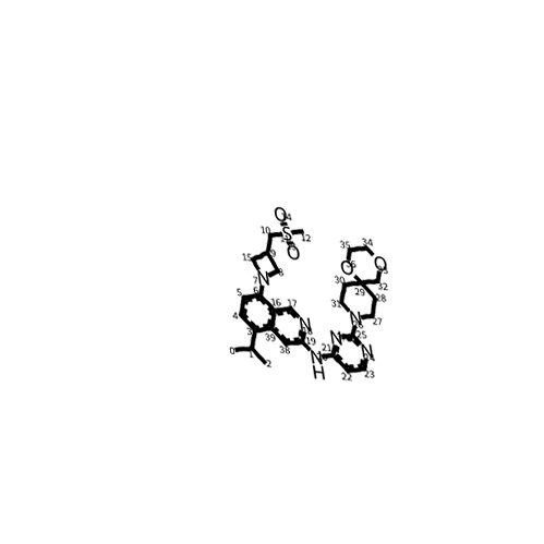 CC(C)c1ccc(N2CC(CS(C)(=O)=O)C2)c2cnc(Nc3ccnc(N4CCC5(CC4)COCCO5)n3)cc12